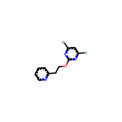 Clc1cc(Cl)nc(OCCc2ccccn2)n1